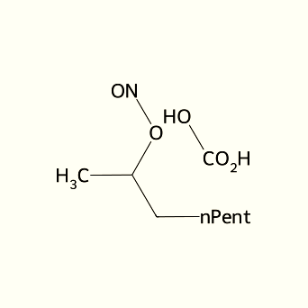 CCCCCCC(C)ON=O.O=C(O)O